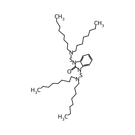 CCCCCCCCN(CCCCCCCC)Sn1c(=O)n(SN(CCCCCCCC)CCCCCCCC)c2ccccc21